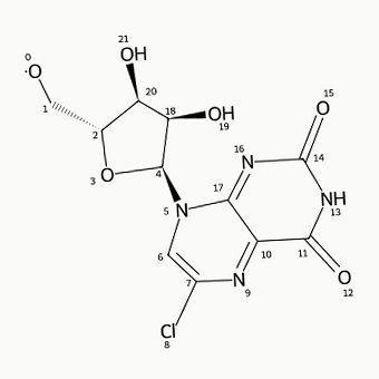 [O]C[C@H]1O[C@H](n2cc(Cl)nc3c(=O)[nH]c(=O)nc2-3)[C@H](O)[C@@H]1O